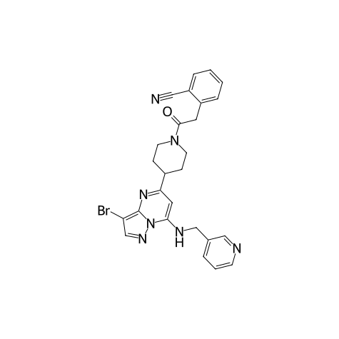 N#Cc1ccccc1CC(=O)N1CCC(c2cc(NCc3cccnc3)n3ncc(Br)c3n2)CC1